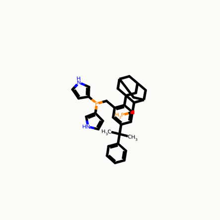 CC(C)(c1ccccc1)c1ccc(C23CC4CC(CC(C4)C2CP)C3)c(CP(c2cc[nH]c2)c2cc[nH]c2)c1